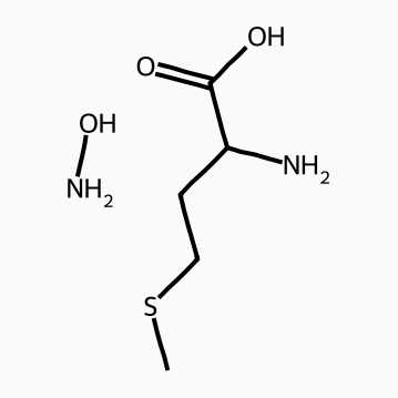 CSCCC(N)C(=O)O.NO